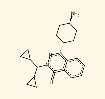 N[C@H]1CC[C@H](c2nn(C(C3CC3)C3CC3)c(=O)c3ccccc32)CC1